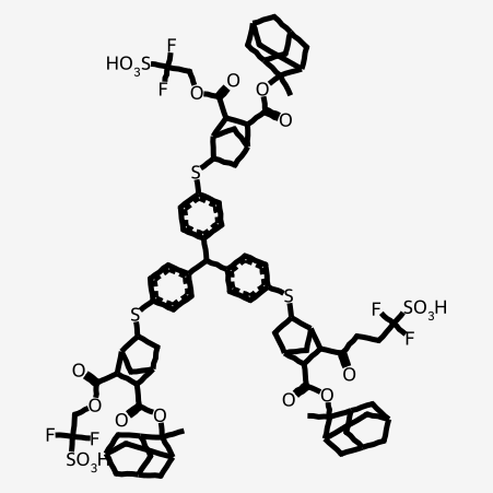 CC1(OC(=O)C2C3CC(Sc4ccc(C(c5ccc(SC6CC7CC6C(C(=O)OCC(F)(F)S(=O)(=O)O)C7C(=O)OC6(C)C7CC8CC(C7)CC6C8)cc5)c5ccc(SC6CC7CC6C(C(=O)OCC(F)(F)S(=O)(=O)O)C7C(=O)OC6(C)C7CC8CC(C7)CC6C8)cc5)cc4)C(C3)C2C(=O)CCC(F)(F)S(=O)(=O)O)C2CC3CC(C2)CC1C3